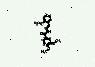 COc1ccccc1C=NNC(=O)c1ccc(OC)c(OC)c1